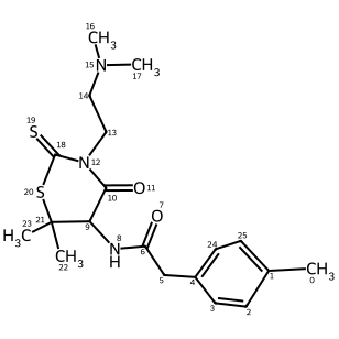 Cc1ccc(CC(=O)NC2C(=O)N(CCN(C)C)C(=S)SC2(C)C)cc1